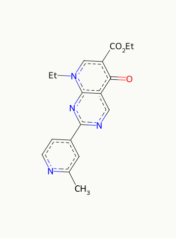 CCOC(=O)c1cn(CC)c2nc(-c3ccnc(C)c3)ncc2c1=O